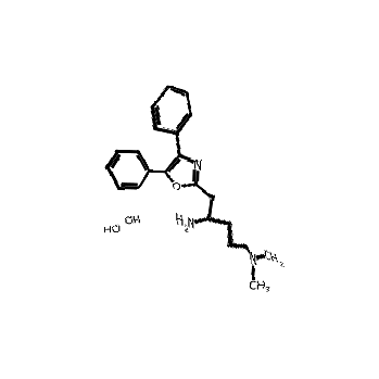 CN(C)CCC(N)Cc1nc(-c2ccccc2)c(-c2ccccc2)o1.Cl.Cl